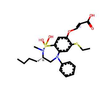 CCCC[C@H]1CN(c2ccccc2)c2cc(SCC)c(O/C=C/C(=O)O)cc2S(O)(O)N1C